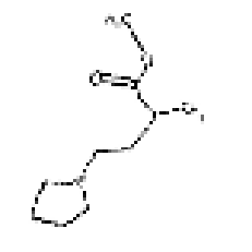 COC(=O)C(C)CCN1CCCC1